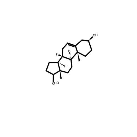 C[C@]12CC[C@H](O)CC1=CC[C@@H]1[C@@H]2CC[C@]2(C)C(C=O)CC[C@@H]12